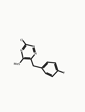 CSc1nc(Cl)nnc1Cc1ccc(F)cc1